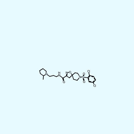 CC1CCCCN1CCCNC(=O)C1=NOC2(CCN(S(=O)(=O)c3cc(Cl)ccc3Cl)CC2)C1